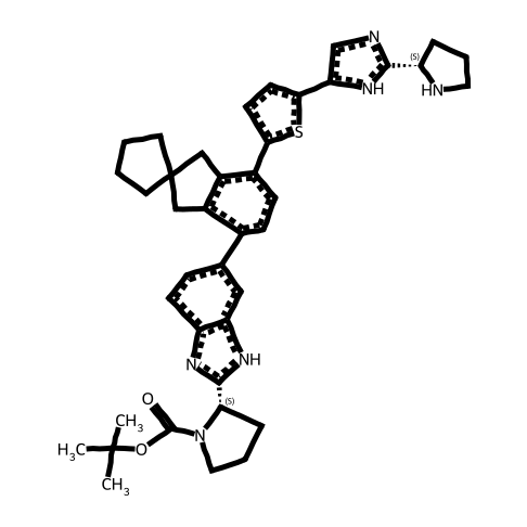 CC(C)(C)OC(=O)N1CCC[C@H]1c1nc2ccc(-c3ccc(-c4ccc(-c5cnc([C@@H]6CCCN6)[nH]5)s4)c4c3CC3(CCCC3)C4)cc2[nH]1